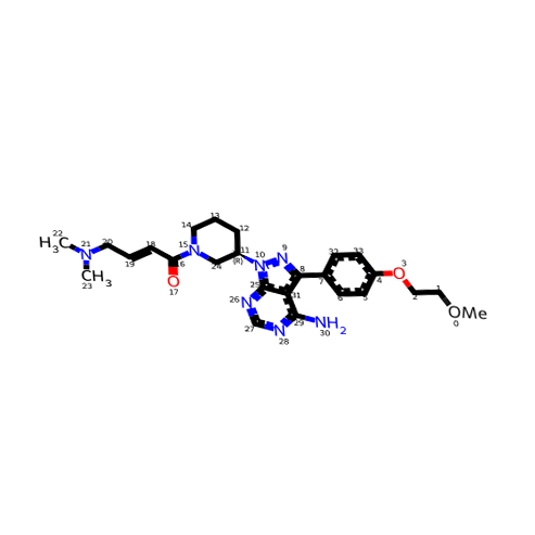 COCCOc1ccc(-c2nn([C@@H]3CCCN(C(=O)C=CCN(C)C)C3)c3ncnc(N)c23)cc1